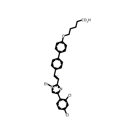 CCn1cc(-c2ccc(Cl)cc2Cl)nc1/C=C/c1ccc(-c2ccc(OCCCCC(=O)O)cc2)cc1